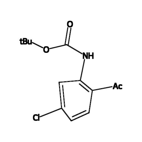 CC(=O)c1ccc(Cl)cc1NC(=O)OC(C)(C)C